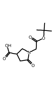 CC(C)(C)OC(=O)CN1CC(C(=O)O)CC1=O